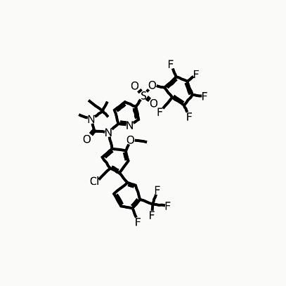 COc1cc(-c2ccc(F)c(C(F)(F)F)c2)c(Cl)cc1N(C(=O)N(C)C(C)(C)C)c1ccc(S(=O)(=O)Oc2c(F)c(F)c(F)c(F)c2F)cn1